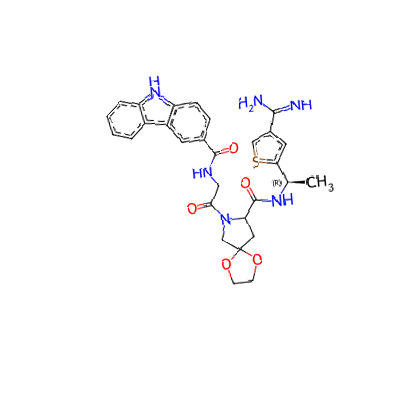 C[C@@H](NC(=O)C1CC2(CN1C(=O)CNC(=O)c1ccc3[nH]c4ccccc4c3c1)OCCO2)c1cc(C(=N)N)cs1